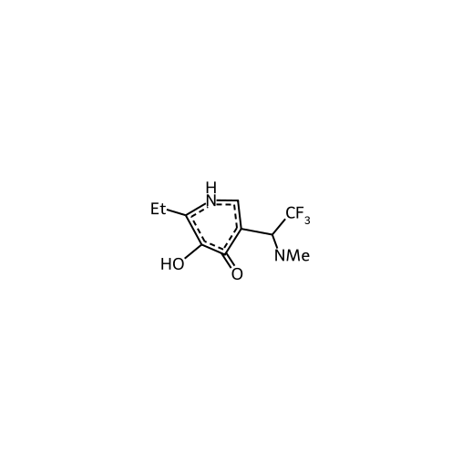 CCc1[nH]cc(C(NC)C(F)(F)F)c(=O)c1O